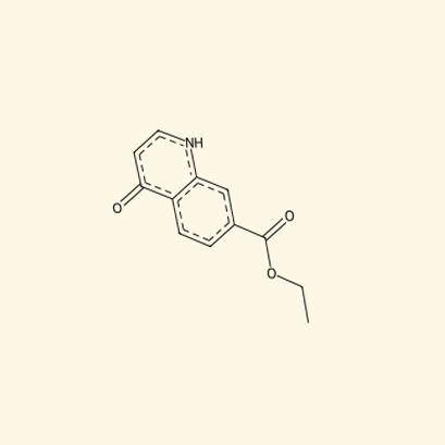 CCOC(=O)c1ccc2c(=O)cc[nH]c2c1